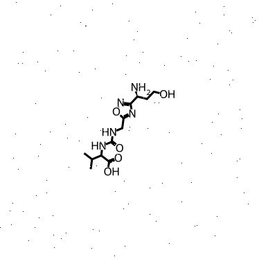 CC(C)C(NC(=O)NCc1nc([C@@H](N)CCO)no1)C(=O)O